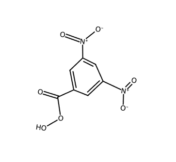 O=C(OO)c1cc([N+](=O)[O-])cc([N+](=O)[O-])c1